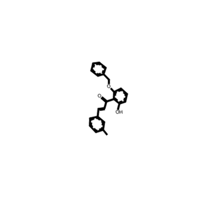 Cc1cccc(C=CC(=O)c2c(O)cccc2OCc2ccccc2)c1